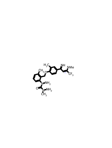 CN/C(=C\C(=N)c1ccc(OCc2c(C)cccc2N(N)C(=O)N(C)N)c(C)c1)C(F)(F)F